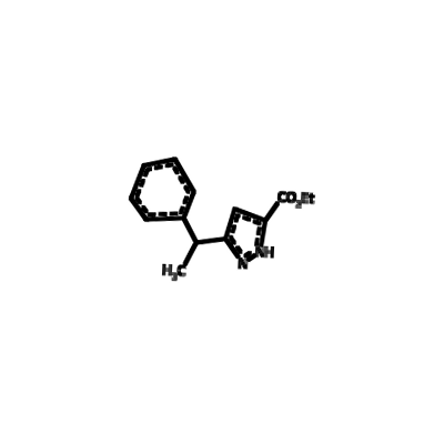 CCOC(=O)c1cc(C(C)c2ccccc2)n[nH]1